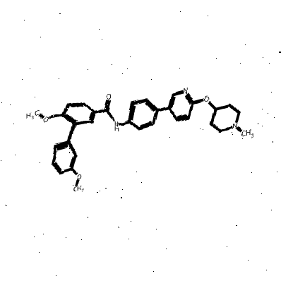 COc1cccc(-c2cc(C(=O)Nc3ccc(-c4ccc(OC5CCN(C)CC5)nc4)cc3)ccc2OC)c1